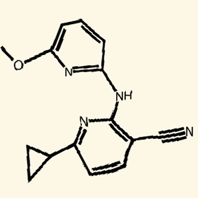 COc1cccc(Nc2nc(C3CC3)ccc2C#N)n1